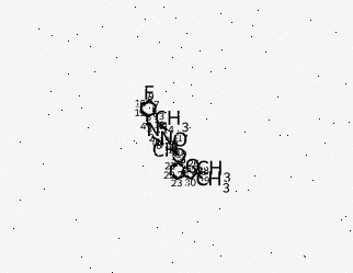 C[C@@H]1CN(Cc2ccc(F)cc2)[C@@H](C)CN1C(=O)COc1cccc2c1OC(C)(C)C2